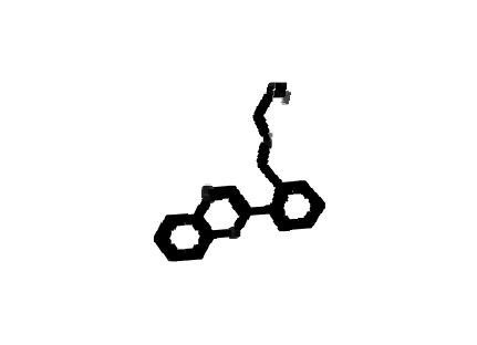 CCSCc1ccccc1C1=COc2ccccc2O1